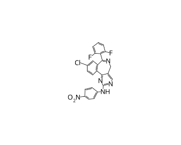 O=[N+]([O-])c1ccc(Nc2ncc3c(n2)-c2ccc(Cl)cc2C(c2c(F)cccc2F)=NC3)cc1